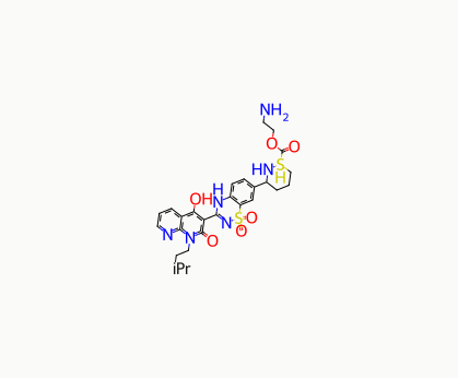 CC(C)CCn1c(=O)c(C2=NS(=O)(=O)c3cc(C4CCC[SH](C(=O)OCCN)N4)ccc3N2)c(O)c2cccnc21